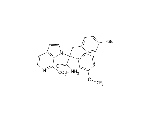 CC(C)(C)c1ccc(CC(C(N)=O)(c2cccc(OC(F)(F)F)c2)n2ccc3ccnc(C(=O)O)c32)cc1